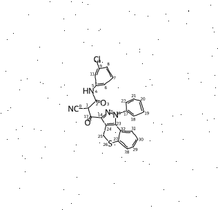 N#CC(C(=O)Nc1cccc(Cl)c1)C(=O)c1nn(-c2ccccc2)c2c1CSc1ccccc1-2